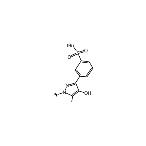 Cc1c(O)c(-c2cccc(S(=O)(=O)C(C)(C)C)c2)nn1C(C)C